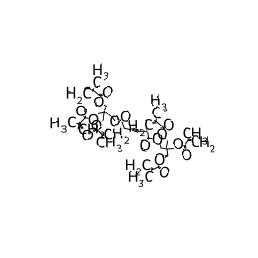 C=C(C)C(=O)OCC(COC(=O)CC#CCC(=O)OCC(COC(=O)C(=C)C)(COC(=O)C(=C)C)COC(=O)C(=C)C)(COC(=O)C(=C)C)COC(=O)C(=C)C